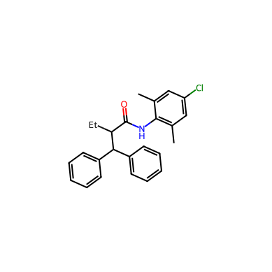 CCC(C(=O)Nc1c(C)cc(Cl)cc1C)C(c1ccccc1)c1ccccc1